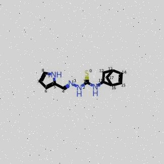 S=C(NN=Cc1ccc[nH]1)NC1CC2C=CC1C2